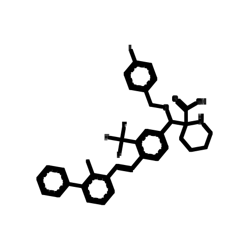 Cc1c(C=Cc2ccc(C(OCc3ccc(I)cc3)C3(C(=O)O)CCCCN3)cc2C(F)(F)F)cccc1-c1ccccc1